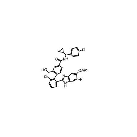 COc1cc2nc(-c3cccc(Cl)c3-c3ccc(C(=O)NC(c4ccc(Cl)cc4)C4CC4)cc3CO)[nH]c2cc1F